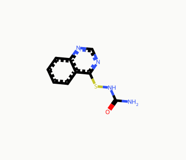 NC(=O)NSc1ncnc2ccccc12